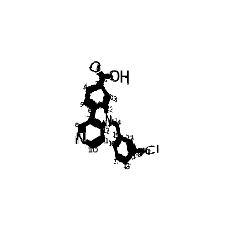 O=C(O)c1ccc2c3cnccc3n(Cc3cccc(Cl)c3)c2c1